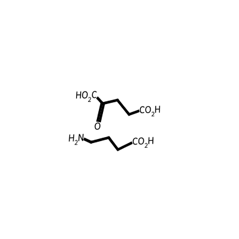 NCCCC(=O)O.O=C(O)CCC(=O)C(=O)O